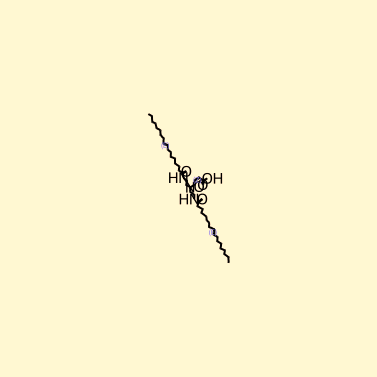 CCCCCCCC/C=C/CCCCCCCC(=O)NCCN(CCNC(=O)CCCCCCC/C=C/CCCCCCCC)C(=O)/C=C\C(=O)O